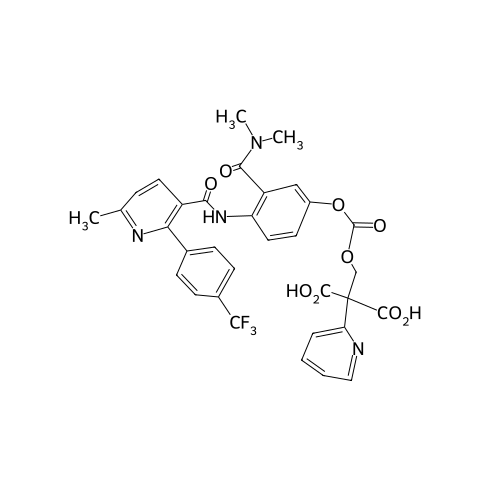 Cc1ccc(C(=O)Nc2ccc(OC(=O)OCC(C(=O)O)(C(=O)O)c3ccccn3)cc2C(=O)N(C)C)c(-c2ccc(C(F)(F)F)cc2)n1